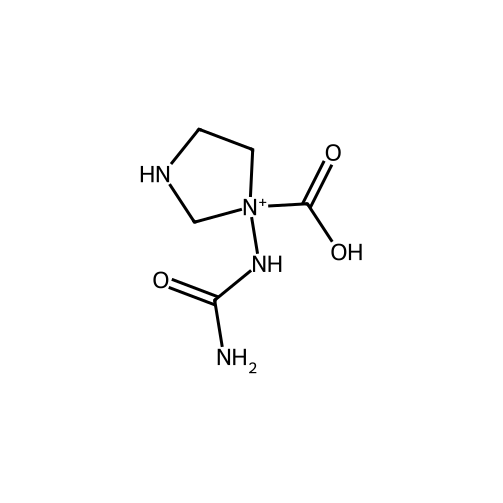 NC(=O)N[N+]1(C(=O)O)CCNC1